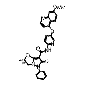 COc1ccc2c(Oc3ccc(NC(=O)c4c5n(n(-c6ccccc6)c4=O)C[C@@H](C)O5)nc3)ccnc2c1